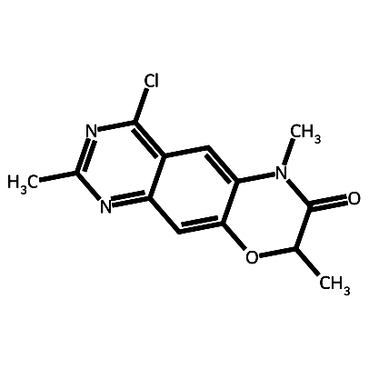 Cc1nc(Cl)c2cc3c(cc2n1)OC(C)C(=O)N3C